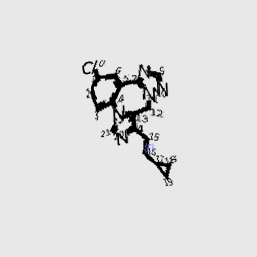 Clc1ccc2c(c1)-c1ncnn1Cc1c(/C=C/C3CC3)ncn1-2